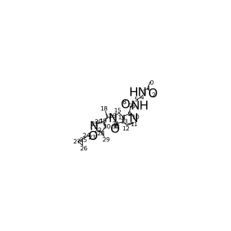 CC(=O)NCCNC(=O)c1nccc2c1CN(C(C)c1cnc(OCC3CC3)c(C)c1)C2=O